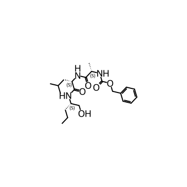 CCC[C@@H](CO)NC(=O)[C@H](CC(C)C)NC(=O)[C@H](C)NC(=O)OCc1ccccc1